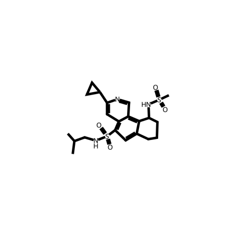 CC(C)CNS(=O)(=O)c1cc2c(c3cnc(C4CC4)cc13)C(NS(C)(=O)=O)CCC2